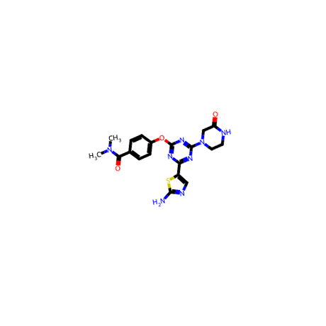 CN(C)C(=O)c1ccc(Oc2nc(-c3cnc(N)s3)nc(N3CCNC(=O)C3)n2)cc1